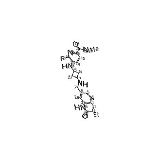 CCc1cc2ncc(CNC3CC(Nc4ccc(C(=O)NC)nc4F)C3)cc2[nH]c1=O